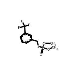 COP(=O)(OC)SCc1cccc(C(F)(F)F)c1